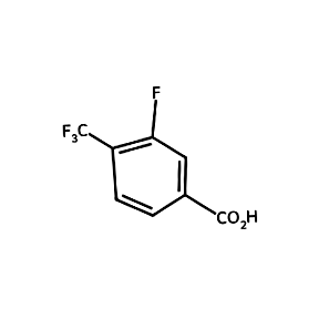 O=C(O)c1ccc(C(F)(F)F)c(F)c1